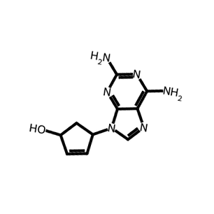 Nc1nc(N)c2ncn(C3C=CC(O)C3)c2n1